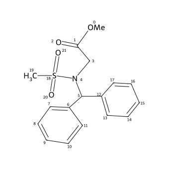 COC(=O)CN(C(c1ccccc1)c1ccccc1)S(C)(=O)=O